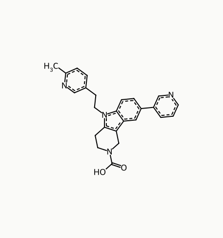 Cc1ccc(CCn2c3c(c4cc(-c5cccnc5)ccc42)CN(C(=O)O)CC3)cn1